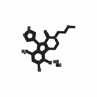 COCCN1CCn2c(c(-c3cn[nH]c3)c3c(N)cc(Cl)c(Cl)c32)C1=O.Cl.Cl